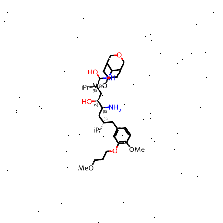 COCCCOc1cc(C[C@@H](C[C@H](N)[C@@H](O)C[C@@H](C(C)C)C(O)NC2C3COCC2CC(OC)C3)C(C)C)ccc1OC